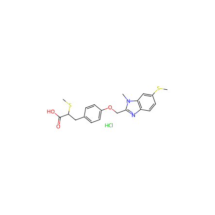 CSc1ccc2nc(COc3ccc(CC(SC)C(=O)O)cc3)n(C)c2c1.Cl